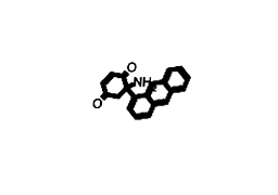 NC1(c2cccc3cc4ccccc4cc23)CC(=O)C=CC1=O